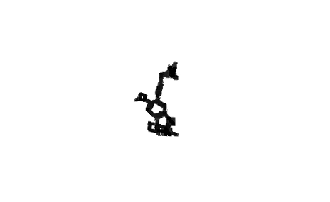 CNC1=Nc2cc(C#CCN(C)C)c(OC)cc2C12CCC2